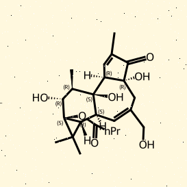 CCCC(=O)O[C@@]12[C@H](O)[C@@H](C)[C@]3(O)[C@H]4C=C(C)C(=O)[C@@]4(O)CC(CO)=C[C@H]3[C@@H]1C2(C)C